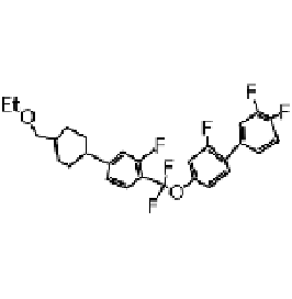 CCOCC1CCC(c2ccc(C(F)(F)Oc3ccc(-c4ccc(F)c(F)c4)c(F)c3)c(F)c2)CC1